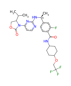 CC(C)C1COC(=O)N1c1ccnc(N[C@@H](C)c2ccc(C(=O)NC3CCC(OCC(F)(F)F)CC3)c(F)c2)n1